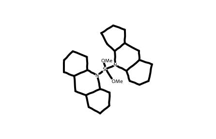 CO[Si](OC)(N1C2CCCCC2CC2CCCCC21)N1C2CCCCC2CC2CCCCC21